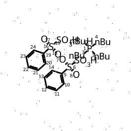 CCCC[PH](CCCC)(CCCC)CCCC.O=S(=O)(O)S(=O)(=O)c1ccccc1.O=S(=O)(O)S(=O)(=O)c1ccccc1